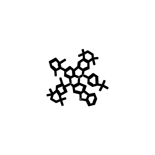 Cc1cc2c(cc1N1c3cc4oc5ccccc5c4cc3B3c4c(cc(-c5c(C)cccc5C)cc41)-c1cc4c(cc1N3c1ccc(C(C)(C)C)cc1)C(C)(C)CCC4(C)C)C(C)(C)CCC2(C)C